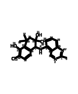 Cc1ncc2c(NC3c4ccc(Cl)c(O)c4C(C)(C)CC3(O)C(F)(F)F)cccc2n1